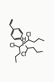 C=Cc1ccc([PH](C(Cl)CCC)(C(Cl)CCC)C(Cl)CCC)cc1